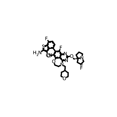 N#Cc1c(N)sc2c(F)ccc(-c3c(Cl)c4c5c(nc(OC[C@@]67CCCN6C[C@H](F)C7)nc5c3F)N(CC3CCOCC3)CCO4)c12